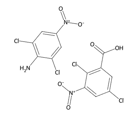 Nc1c(Cl)cc([N+](=O)[O-])cc1Cl.O=C(O)c1cc(Cl)cc([N+](=O)[O-])c1Cl